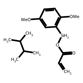 C=CC(=O)O[SiH2]c1cc(OC)ccc1OC.CC(C)C(C)C